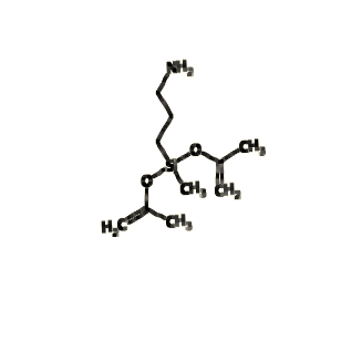 C=C(C)O[Si](C)(CCCN)OC(=C)C